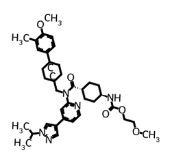 COCCOC(=O)N[C@H]1CC[C@H](C(=O)N(CC23CCC(c4ccc(OC)c(C)c4)(CC2)CC3)c2cc(-c3cnn(C(C)C)c3)ccn2)CC1